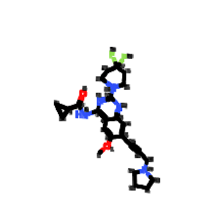 COc1cc2c(NC(=O)C3CC3)nc(N3CCC(F)(F)CC3)nc2cc1C#CCN1CCCC1